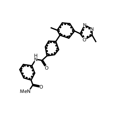 CNC(=O)c1cccc(NC(=O)c2ccc(-c3cc(-c4nnc(C)o4)ccc3C)cc2)c1